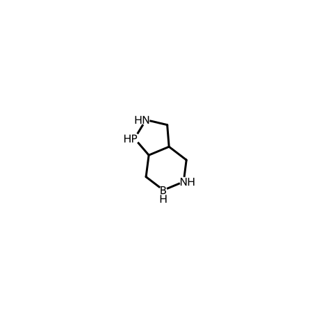 B1CC2PNCC2CN1